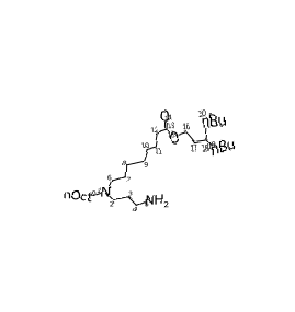 CCCCCCCCN(CCCN)CCCCCCCC(=O)OCCC(CCCC)CCCC